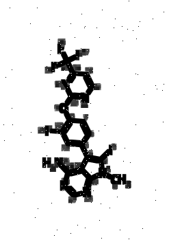 Cn1c(I)c(-c2ccc(Oc3nccc(C(F)(F)F)n3)c(F)c2)c2c(N)ncnc21